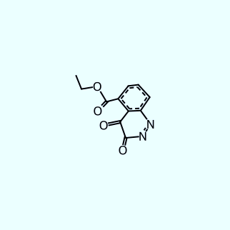 CCOC(=O)c1cccc2c1C(=O)C(=O)N=N2